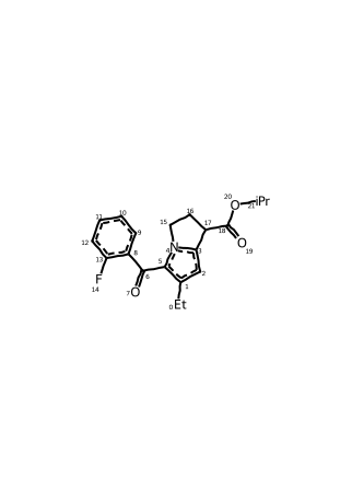 CCc1cc2n(c1C(=O)c1ccccc1F)CCC2C(=O)OC(C)C